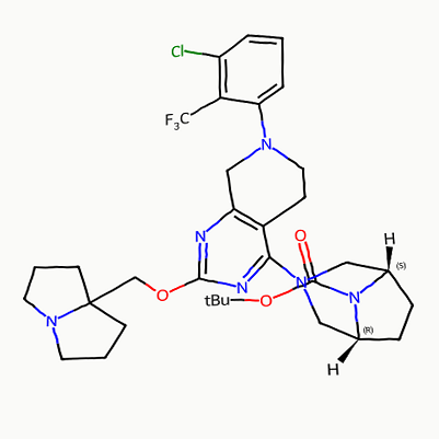 CC(C)(C)OC(=O)N1[C@@H]2CC[C@H]1CN(c1nc(OCC34CCCN3CCC4)nc3c1CCN(c1cccc(Cl)c1C(F)(F)F)C3)C2